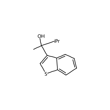 CC(C)C(C)(O)c1csc2ccccc12